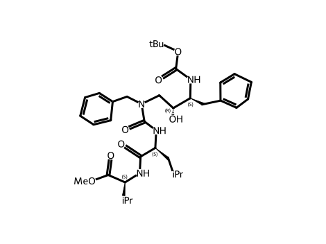 COC(=O)[C@@H](NC(=O)[C@H](CC(C)C)NC(=O)N(Cc1ccccc1)C[C@@H](O)[C@H](Cc1ccccc1)NC(=O)OC(C)(C)C)C(C)C